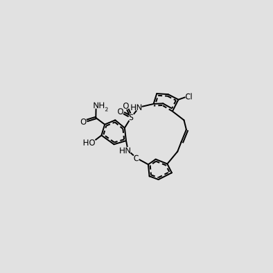 NC(=O)c1cc2c(cc1O)NCc1cccc(c1)C/C=C/Cc1cc(ccc1Cl)NS2(=O)=O